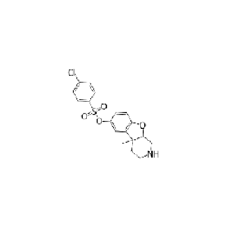 CC12CCNCC1Oc1ccc(OS(=O)(=O)c3ccc(Cl)cc3)cc12